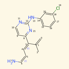 C=C(C)/C(=C\C=C/N)c1ccnc(Nc2cccc(Cl)c2)n1